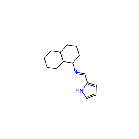 C(=N\C1CCCC2CCCCC21)/c1ccc[nH]1